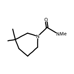 CNC(=O)N1CCCC(C)(C)C1